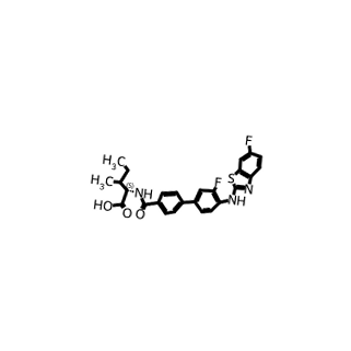 CCC(C)[C@H](NC(=O)c1ccc(-c2ccc(Nc3nc4ccc(F)cc4s3)c(F)c2)cc1)C(=O)O